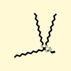 C=C[SiH2]OC(CCCCCCCCCCC)(OCCCCCCCCCCCC)OCCCCCCCCCCCC